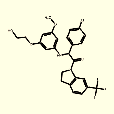 COc1cc(NC(C(=O)N2CCc3ccc(C(F)(F)F)cc32)c2ccc(Cl)cc2)cc(OCCO)c1